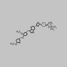 COc1ccc(COc2ccc(Cn3cnc4cc(-c5cnn(C6CCN(C(=O)OC(C)(C)C)CC6)c5)cnc43)cc2OC)cn1